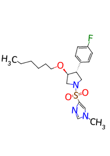 CCCCCCO[C@@H]1CN(S(=O)(=O)c2cn(C)cn2)C[C@H]1c1ccc(F)cc1